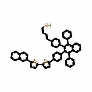 S/C=C\C=C\c1ccc(-c2c(-c3ccc(-c4ccc(-c5ccc(-c6ccc7ccccc7c6)s5)s4)cc3)c(-c3ccccc3)c3ccccc3c2-c2ccccc2)cc1